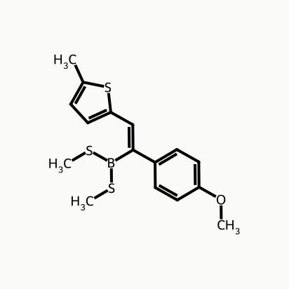 COc1ccc(/C(=C/c2ccc(C)s2)B(SC)SC)cc1